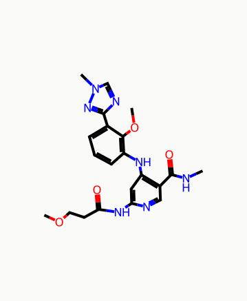 CNC(=O)c1cnc(NC(=O)CCOC)cc1Nc1cccc(-c2ncn(C)n2)c1OC